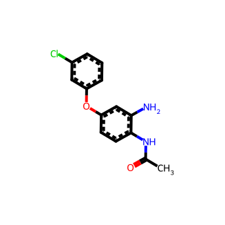 CC(=O)Nc1ccc(Oc2cccc(Cl)c2)cc1N